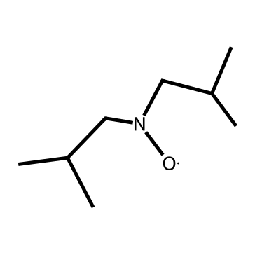 CC(C)CN([O])CC(C)C